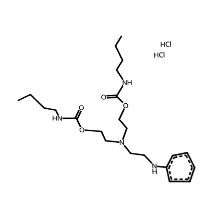 CCCCNC(=O)OCCN(CCNc1ccccc1)CCOC(=O)NCCCC.Cl.Cl